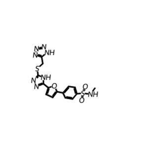 CNS(=O)(=O)c1ccc(-c2ccc(-c3nnc(SCc4nnn[nH]4)[nH]3)o2)cc1